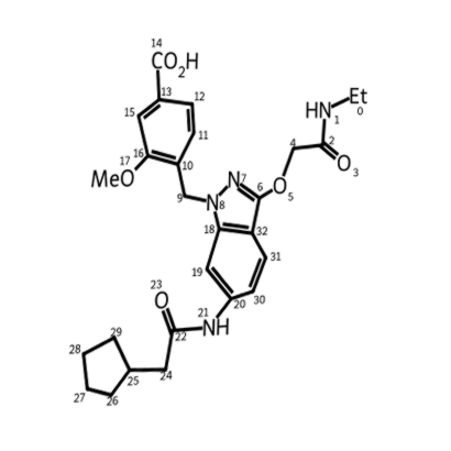 CCNC(=O)COc1nn(Cc2ccc(C(=O)O)cc2OC)c2cc(NC(=O)CC3CCCC3)ccc12